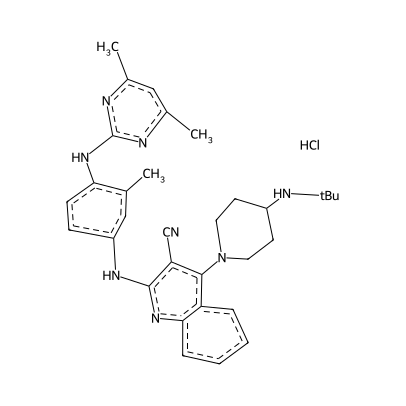 Cc1cc(C)nc(Nc2ccc(Nc3nc4ccccc4c(N4CCC(NC(C)(C)C)CC4)c3C#N)cc2C)n1.Cl